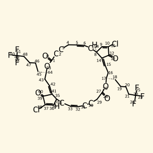 O=C1CCC/C=C\C[C@H]2C=C(Cl)C(=O)/C2=C/C[C@H](CCCCC(F)(F)F)OC(=O)CCC/C=C\C[C@H]2C=C(Cl)C(=O)/C2=C\C[C@H](CCCCC(F)(F)F)O1